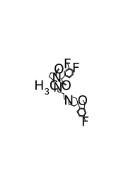 CN(CCCN1CCC2(CC1)OCc1cc(F)ccc12)C(=O)C(c1ccc(F)c(F)c1)N1CCCC1=O